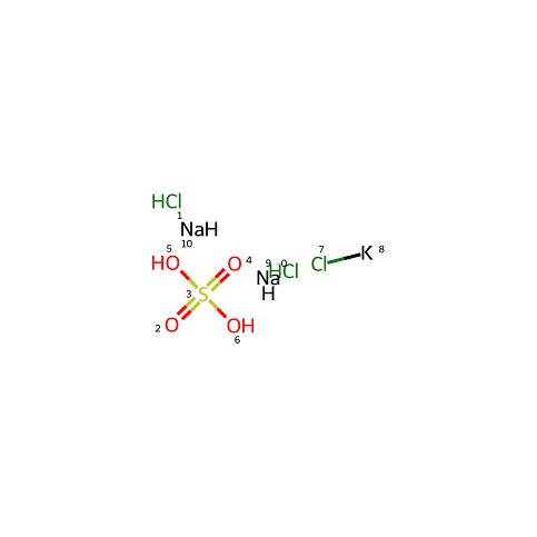 Cl.Cl.O=S(=O)(O)O.[Cl][K].[NaH].[NaH]